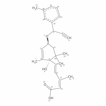 C#CC(O[C@@H]1C=C(C)[C@](O)(/C=C/C(C)=C\C(=O)O)C(C)(C)C1)c1cccc(C)c1